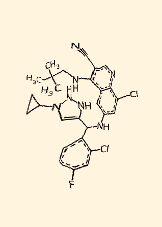 CC(C)(C)CNc1c(C#N)cnc2c(Cl)cc(NC(C3=CN(C4CC4)NN3)c3ccc(F)cc3Cl)cc12